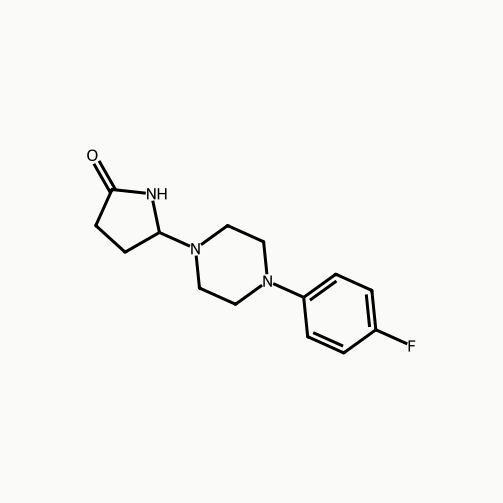 O=C1CCC(N2CCN(c3ccc(F)cc3)CC2)N1